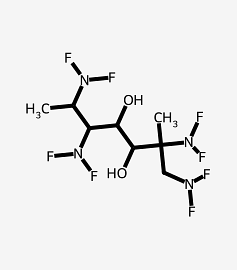 CC(C(C(O)C(O)C(C)(CN(F)F)N(F)F)N(F)F)N(F)F